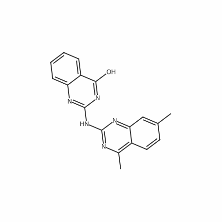 Cc1ccc2c(C)nc(Nc3nc(O)c4ccccc4n3)nc2c1